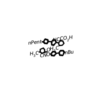 CCCCCc1ccc(-c2ccc(C3C(C)CCCC3(C#N)C(=O)O)cc2)cc1.CCCCc1ccc(-c2ccc(OC(=O)C3(C#N)CCCC(C)C3)cc2)cc1